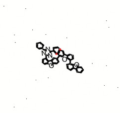 c1ccc(-c2nc(-c3ccccc3)nc(-c3cccc4oc5ccc(-c6cccc7c6oc6c(-c8cccc9c8oc8ccccc89)cccc67)cc5c34)n2)cc1